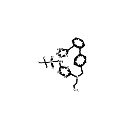 CCCN(Cc1ccc(-c2ccccc2-c2nnn[nH]2)cc1)c1nnc(NS(=O)(=O)C(F)(F)F)s1